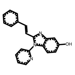 Oc1ccc2c(c1)nc(C=Cc1ccccc1)n2-c1ccccn1